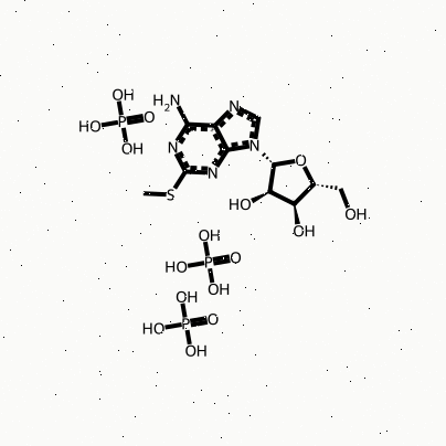 CSc1nc(N)c2ncn([C@@H]3O[C@H](CO)[C@@H](O)[C@H]3O)c2n1.O=P(O)(O)O.O=P(O)(O)O.O=P(O)(O)O